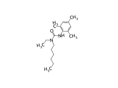 CCCCCCN(CC)C(=O)Nc1c(C)cc(C)cc1C